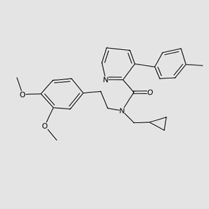 COc1ccc(CCN(CC2CC2)C(=O)c2ncccc2-c2ccc(C)cc2)cc1OC